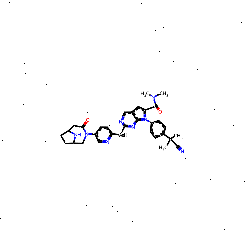 CN(C)C(=O)c1cc2cnc([AsH]c3ccc(N4CC5CCC(CC4=O)N5)cn3)nc2n1-c1ccc(C(C)(C)C#N)cc1